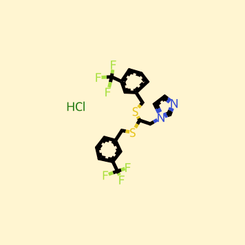 Cl.FC(F)(F)c1cccc(CSC(Cn2ccnc2)SCc2cccc(C(F)(F)F)c2)c1